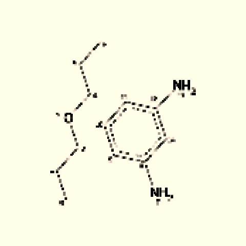 CCCOCCC.Nc1cccc(N)c1